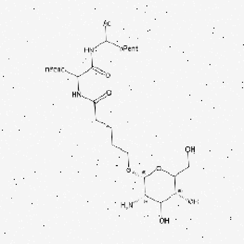 CCCCCC(NC(=O)C(CCCCC)NC(=O)CCCCO[C@@H]1OC(CO)[C@H](O)C(O)[C@@H]1N)C(C)=O